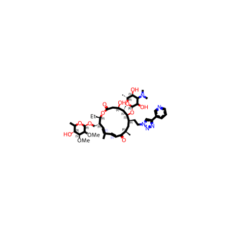 CC[C@H]1OC(=O)C[C@@H](O)[C@H](C)[C@@H](O[C@@H]2O[C@H](C)[C@@H](O)C(N(C)C)C2O)[C@@H](CCn2cc(-c3cccnc3)nn2)C[C@@H](C)C(=O)/C=C/C(C)=C/[C@@H]1CO[C@@H]1OC(C)[C@@H](O)[C@H](OC)C1OC